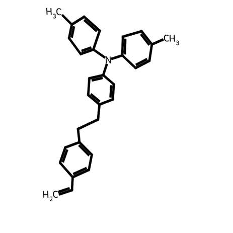 C=Cc1ccc(CCc2ccc(N(c3ccc(C)cc3)c3ccc(C)cc3)cc2)cc1